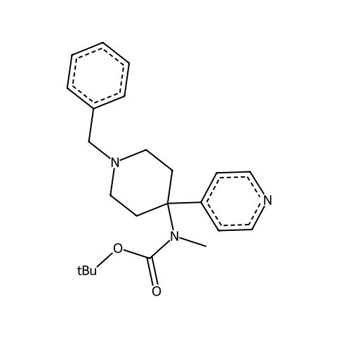 CN(C(=O)OC(C)(C)C)C1(c2ccncc2)CCN(Cc2ccccc2)CC1